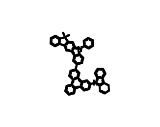 CC1(C)c2ccccc2-c2cc3c4cc(-c5ccc6c7ccccc7c7ccc(-n8c9c(c%10ccccc%108)CCC=C9)cc7c6c5)ccc4n(-c4ccccc4)c3cc21